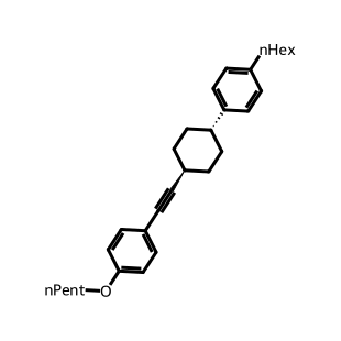 CCCCCCc1ccc([C@H]2CC[C@H](C#Cc3ccc(OCCCCC)cc3)CC2)cc1